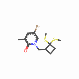 CSC1(SC)CCC1Cn1cc(Br)cc(C)c1=O